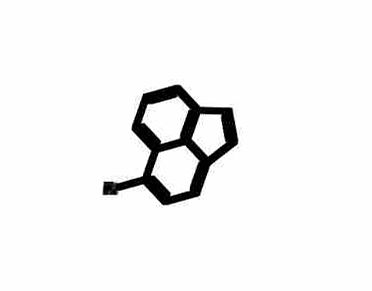 CCc1ccc2c3c(cccc13)C=C2